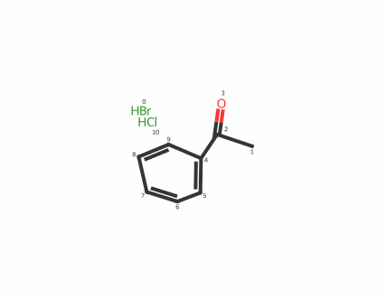 Br.CC(=O)c1ccccc1.Cl